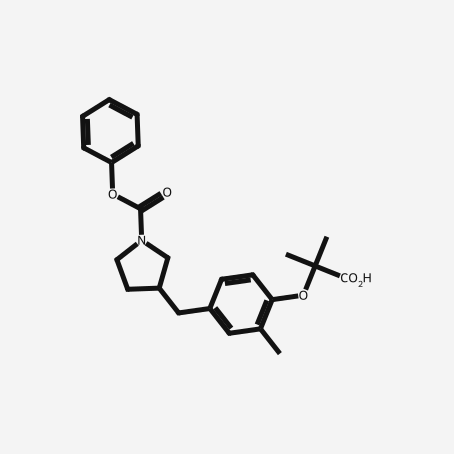 Cc1cc(CC2CCN(C(=O)Oc3ccccc3)C2)ccc1OC(C)(C)C(=O)O